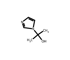 CC(C)(O)n1ccnc1